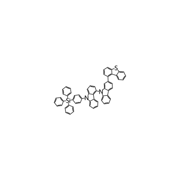 c1ccc([Si](c2ccccc2)(c2ccccc2)c2ccc(-n3c4ccccc4c4c(-n5c6ccccc6c6ccc(-c7cccc8sc9ccccc9c78)cc65)cccc43)cc2)cc1